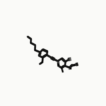 CCCCCc1ccc(C#Cc2cc(C)c(N=C=S)c(Cl)c2)c(CC)c1